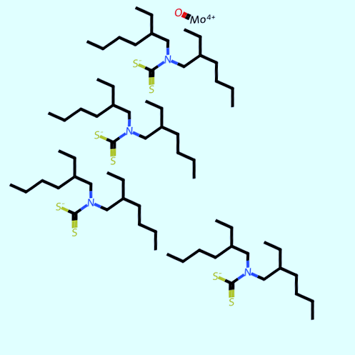 CCCCC(CC)CN(CC(CC)CCCC)C(=S)[S-].CCCCC(CC)CN(CC(CC)CCCC)C(=S)[S-].CCCCC(CC)CN(CC(CC)CCCC)C(=S)[S-].CCCCC(CC)CN(CC(CC)CCCC)C(=S)[S-].[O]=[Mo+4]